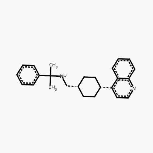 CC(C)(NC[C@H]1CC[C@@H](c2ccnc3ccccc32)CC1)c1ccccc1